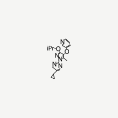 Cc1c(Oc2cccnc2)c(OC(C)C)nn1-c1ncc(C2CC2)cn1